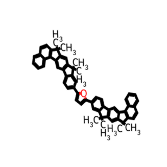 CC1(C)c2cc(-c3ccc(-c4ccc5c(c4)C(C)(C)c4cc6c(cc4-5)-c4c(ccc5ccccc45)C6(C)C)o3)ccc2-c2cc3c(cc21)C(C)(C)c1ccc2ccccc2c1-3